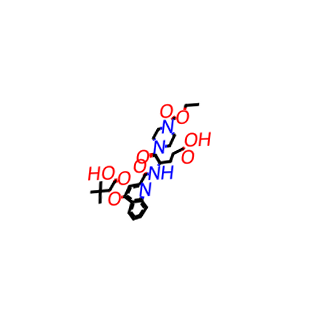 CCOC(=O)N1CCN(C(=O)C(CCC(=O)O)NC(=O)c2cc(OC(C(=O)O)C(C)(C)C)c3ccccc3n2)CC1